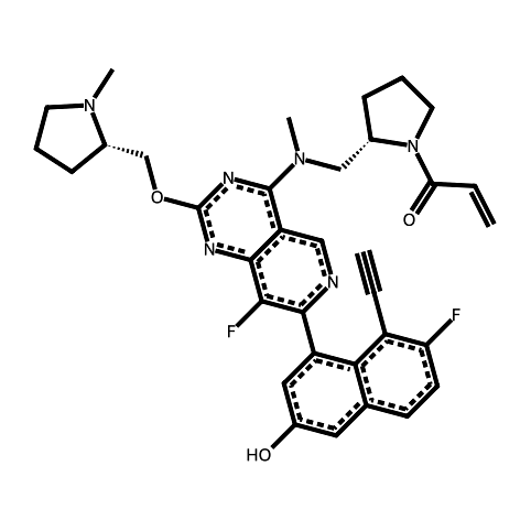 C#Cc1c(F)ccc2cc(O)cc(-c3ncc4c(N(C)C[C@@H]5CCCN5C(=O)C=C)nc(OC[C@@H]5CCCN5C)nc4c3F)c12